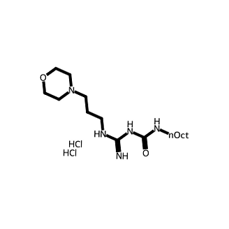 CCCCCCCCNC(=O)NC(=N)NCCCN1CCOCC1.Cl.Cl